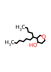 CCCCCCC(CCCC)C1COCCC1O